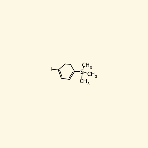 C[Si](C)(C)C1=CC=C(I)CC1